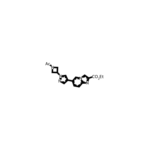 CCOC(=O)c1cn2cc(-c3cnn(C4CN(C(C)=O)C4)c3)ccc2n1